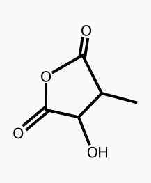 CC1C(=O)OC(=O)C1O